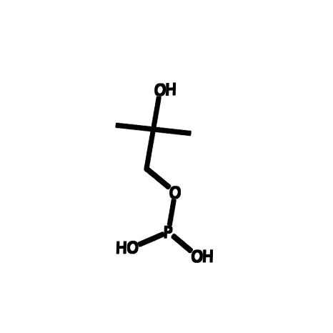 CC(C)(O)COP(O)O